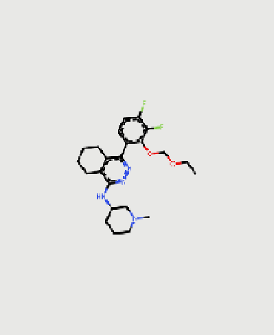 CCOCOc1c(-c2nnc(N[C@@H]3CCCN(C)C3)c3c2CCCC3)ccc(F)c1F